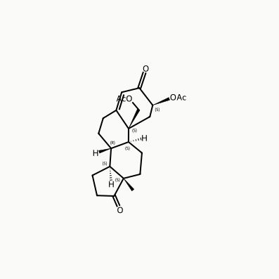 CC(=O)OC[C@]12C[C@H](OC(C)=O)C(=O)C=C1CC[C@@H]1[C@@H]2CC[C@]2(C)C(=O)CC[C@@H]12